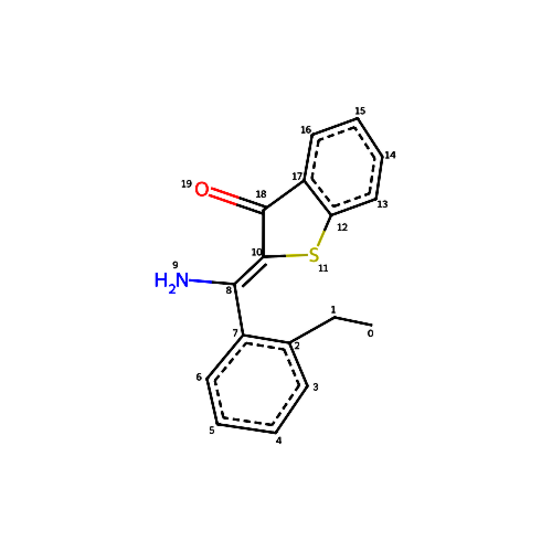 CCc1ccccc1/C(N)=C1\Sc2ccccc2C1=O